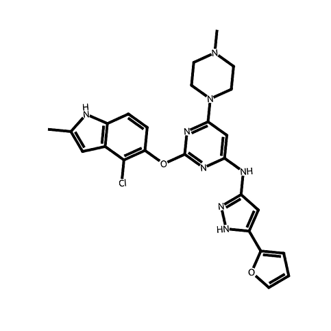 Cc1cc2c(Cl)c(Oc3nc(Nc4cc(-c5ccco5)[nH]n4)cc(N4CCN(C)CC4)n3)ccc2[nH]1